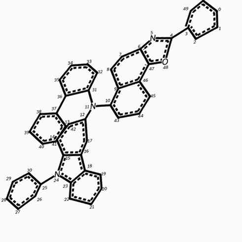 c1ccc(-c2nc3ccc4c(N(c5ccc6c(c5)c5ccccc5n6-c5ccccc5)c5ccccc5-c5ccccc5)cccc4c3o2)cc1